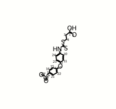 O=C(O)CCSC(=S)Nc1ccc(Oc2ccc([N+](=O)[O-])cc2)cc1